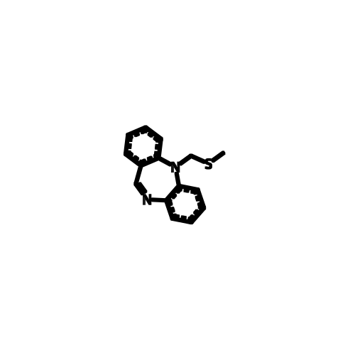 CSCN1c2ccccc2C=Nc2ccccc21